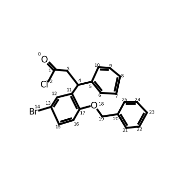 O=C(Cl)CC(c1ccccc1)c1cc(Br)ccc1OCc1ccccc1